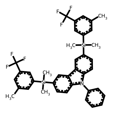 Cc1cc(C(F)(F)F)cc([Si](C)(C)c2ccc3c(c2)c2cc([Si](C)(C)c4cc(C)cc(C(F)(F)F)c4)ccc2n3-c2ccccc2)c1